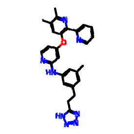 Cc1cc(CCc2nnn[nH]2)cc(Nc2cc(Oc3cc(C)c(C)nc3-c3ccccn3)ccn2)c1